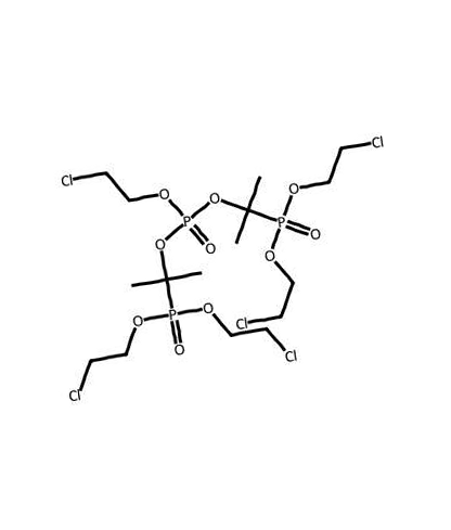 CC(C)(OP(=O)(OCCCl)OC(C)(C)P(=O)(OCCCl)OCCCl)P(=O)(OCCCl)OCCCl